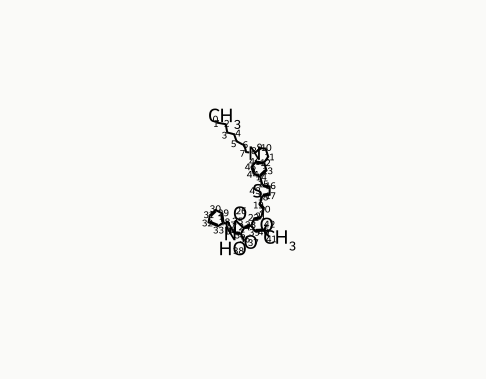 CCCCCCCCN1CCCc2cc(-c3ccc(/C=C/C4=CC(=C5\C(=O)N(c6ccccc6)N=C5C(=O)O)/C=C(C)O4)s3)ccc21